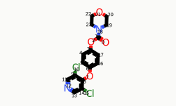 O=C(Oc1ccc(Oc2c(Cl)cncc2Cl)cc1)N1CCOCC1